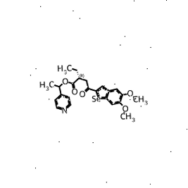 CC[C@H](CC(=O)c1cc2cc(OC)c(OC)cc2[se]1)C(=O)OC(C)c1ccncc1